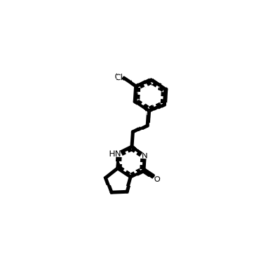 O=c1nc(CCc2cccc(Cl)c2)[nH]c2c1CCC2